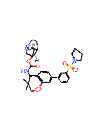 CC1(C)COc2cc(-c3cccc(S(=O)(=O)N4CCCC4)c3)ccc2C1NC(=O)O[C@H]1CN2CCC1CC2